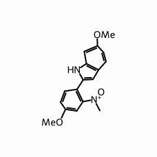 COc1ccc(-c2cc3ccc(OC)cc3[nH]2)c([N+](C)=O)c1